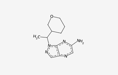 CC(C1CCCOC1)n1ncc2ncc(N)nc21